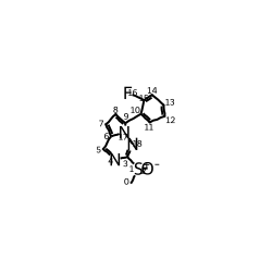 C[S+]([O-])c1ncc2ccc(-c3ccccc3F)n2n1